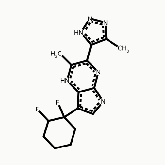 Cc1nn[nH]c1-c1nc2ncc(C3(F)CCCCC3F)c-2[nH]c1C